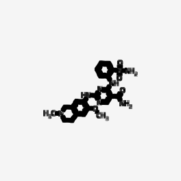 COc1cc2c(cc1Nc1ncc(C(N)=O)c(Nc3ccccc3S(N)(=O)=O)n1)CN(C)CC2